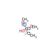 CCOc1ncc(-c2c(CO)n(Cc3ccc(C)cc3F)c3ccc(OC)cc23)cn1